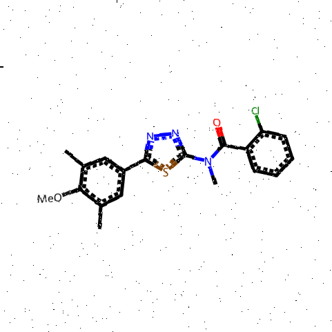 COc1c(C)cc(-c2nnc(N(C)C(=O)c3ccccc3Cl)s2)cc1C